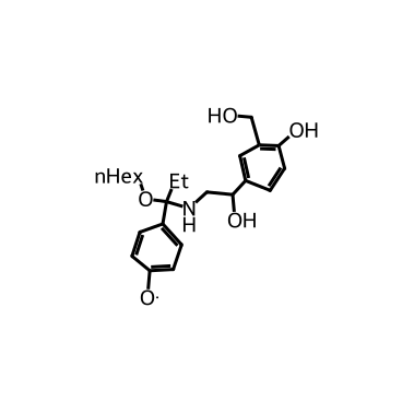 CCCCCCOC(CC)(NCC(O)c1ccc(O)c(CO)c1)c1ccc([O])cc1